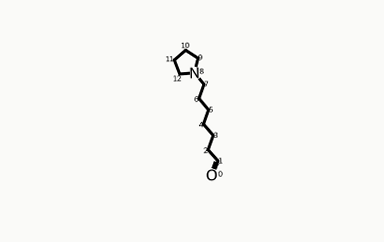 O=[C]CCCCCCN1CCCC1